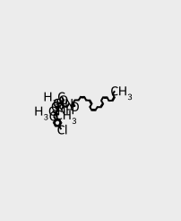 CC/C=C\C/C=C\C/C=C\C/C=C\C/C=C\C/C=C\CCC(=O)NCC(NC(=O)C(C)(C)Oc1ccc(Cl)cc1)C(=O)OC